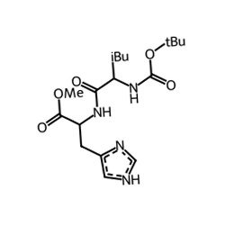 CCC(C)C(NC(=O)OC(C)(C)C)C(=O)NC(Cc1c[nH]cn1)C(=O)OC